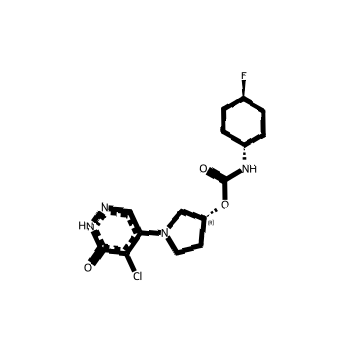 O=C(N[C@H]1CC[C@H](F)CC1)O[C@@H]1CCN(c2cn[nH]c(=O)c2Cl)C1